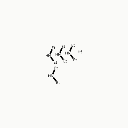 CCNCC.CCNCC.CCNCC.CCNCC.[Hf]